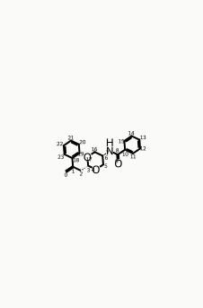 C=C(C[C@H]1OC[C@@H](NC(=O)c2ccccc2)CO1)c1ccccc1